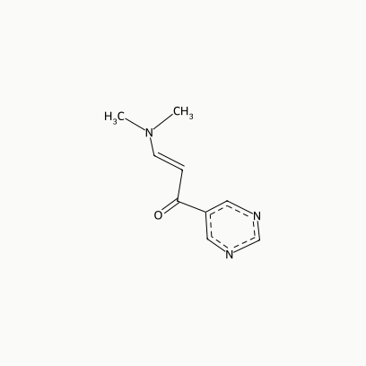 CN(C)C=CC(=O)c1cncnc1